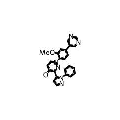 COc1cc(-c2cncnc2)ccc1-n1ccc(=O)c(-c2ccnn2-c2ccccc2)n1